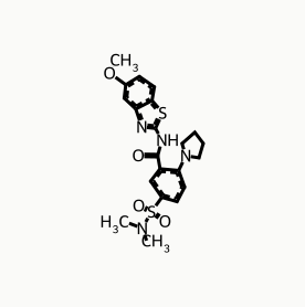 COc1ccc2sc(NC(=O)c3cc(S(=O)(=O)N(C)C)ccc3N3CCCC3)nc2c1